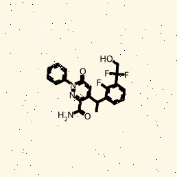 CC(c1cc(=O)n(-c2ccccc2)nc1C(N)=O)c1cccc(C(F)(F)CO)c1F